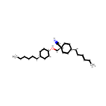 CCCCCC[C@H]1CC[C@H](OC[C@]2(C#N)CC[C@H](CCCCCC)CC2)CC1